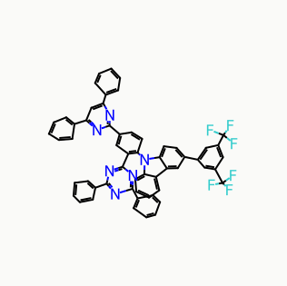 FC(F)(F)c1cc(-c2ccc3c(c2)c2ccccc2n3-c2ccc(-c3nc(-c4ccccc4)cc(-c4ccccc4)n3)cc2-c2nc(-c3ccccc3)nc(-c3ccccc3)n2)cc(C(F)(F)F)c1